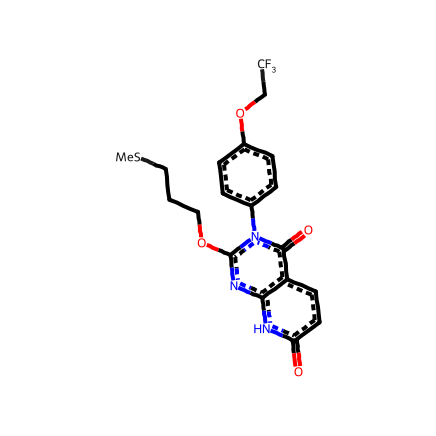 CSCCCOc1nc2[nH]c(=O)ccc2c(=O)n1-c1ccc(OCC(F)(F)F)cc1